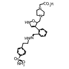 NS(=O)(=O)c1ccc(CCNN=Cc2ccccc2C2=CNOC2CN2CCN(CC(=O)O)CC2)cc1